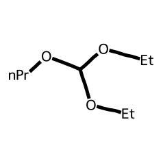 CCCOC(OCC)OCC